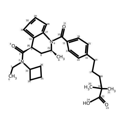 CCN(C(=O)[C@@H]1C[C@H](C)N(C(=O)c2ccc(CCCC(C)(C)C(=O)O)cc2)c2ccccc21)C1CCC1